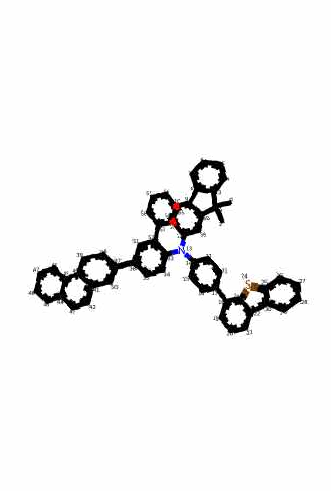 CC1(C)c2ccccc2-c2ccc(N(c3ccc(-c4cccc5c4sc4ccccc45)cc3)c3ccc(-c4ccc5c(ccc6ccccc65)c4)cc3-c3ccccc3)cc21